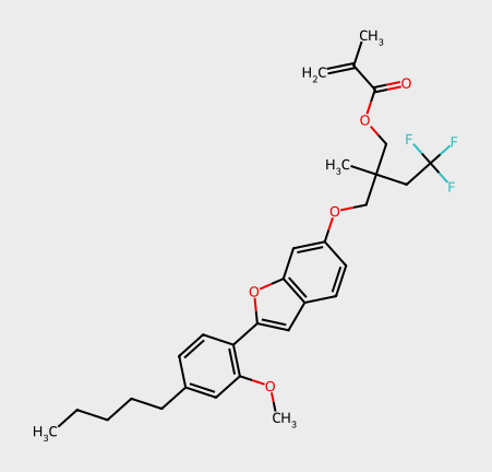 C=C(C)C(=O)OCC(C)(COc1ccc2cc(-c3ccc(CCCCC)cc3OC)oc2c1)CC(F)(F)F